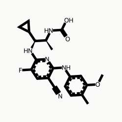 COc1cc(Nc2nc(N[C@@H](C3CC3)[C@H](C)NC(=O)O)c(F)cc2C#N)ccc1C